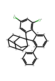 Clc1cc(Cl)c2c(c1)C1(c3c(-c4ccccc4)cccc3-2)C2CC3CC(C2)CC1C3